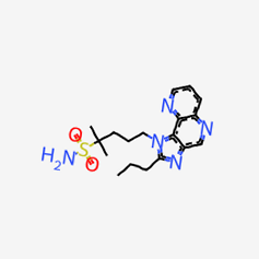 CCCc1nc2cnc3cccnc3c2n1CCCC(C)(C)S(N)(=O)=O